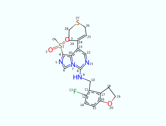 CS(=O)(=O)c1ncn2c(NCc3c(F)ccc4c3CCO4)ncc(C3=CCSCC3)c12